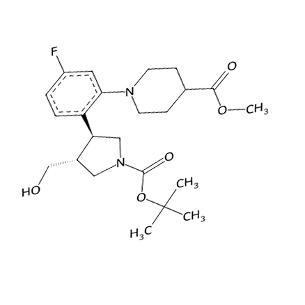 COC(=O)C1CCN(c2cc(F)ccc2[C@H]2CN(C(=O)OC(C)(C)C)C[C@@H]2CO)CC1